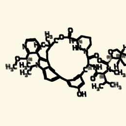 CCn1c(-c2cccnc2[C@H](C)OC)c2c3cc(ccc31)-c1cc(O)cc(c1)C[C@H](NC(=O)[C@H](C(C)C)N(C)C(=O)[C@@H]1OC[C@@H]3CCC[C@@H]31)C(=O)N1CCC[C@H](N1)C(=O)OCC(C)(C)C2